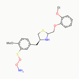 CCOc1ccccc1OCC1N[C@@H](Cc2ccc(OC)c(SOON)c2)CS1